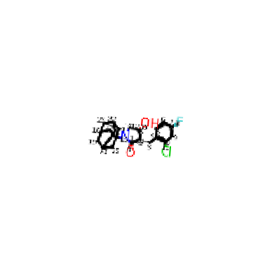 O=C1[C@@H](Cc2ccc(F)cc2Cl)[C@H](O)CN1C12CC3CC(CC(C3)C1)C2